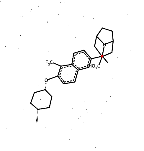 CC(c1ccc2c(C(F)(F)F)c(O[C@H]3CC[C@@H](C)CC3)ccc2c1)N1C2CCC1CC(C(=O)O)C2